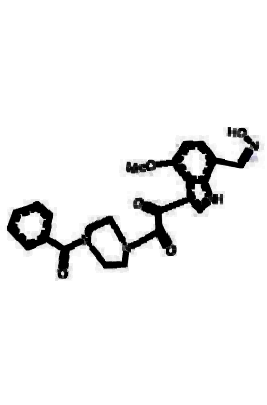 COc1ccc(/C=N\O)c2[nH]cc(C(=O)C(=O)N3CCN(C(=O)c4ccccc4)CC3)c12